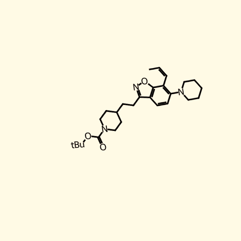 C/C=C\c1c(N2CCCCC2)ccc2c(CCC3CCN(C(=O)OC(C)(C)C)CC3)noc12